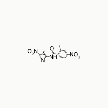 Cc1cc([N+](=O)[O-])ccc1C(=O)Nc1ncc([N+](=O)[O-])s1